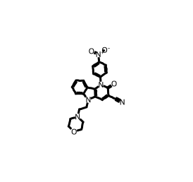 N#Cc1cc2c(c3ccccc3n2CCN2CCOCC2)n(-c2ccc([N+](=O)[O-])cc2)c1=O